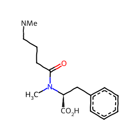 CNCCCC(=O)N(C)[C@@H](Cc1ccccc1)C(=O)O